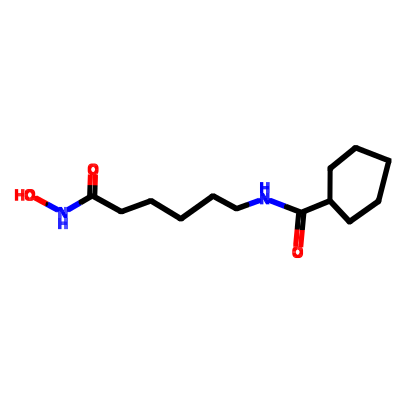 O=C(CCCCCNC(=O)C1CCCCC1)NO